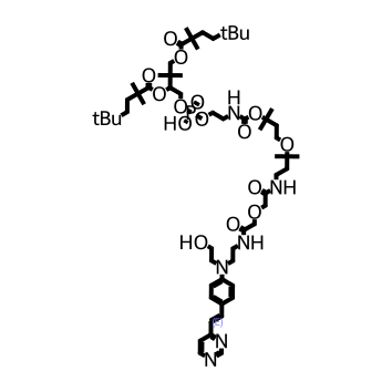 CC(C)(C)CCC(C)(C)C(=O)OCC(C)(C)C(COP(=O)(O)OCCNC(=O)OC(C)(C)CCOC(C)(C)CCNC(=O)COCC(=O)NCCN(CCO)c1ccc(/C=C/c2ccncn2)cc1)OC(=O)C(C)(C)CCC(C)(C)C